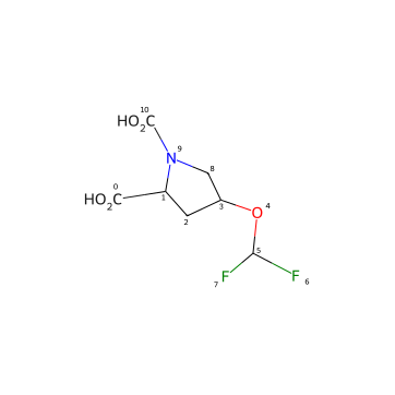 O=C(O)C1CC(OC(F)F)CN1C(=O)O